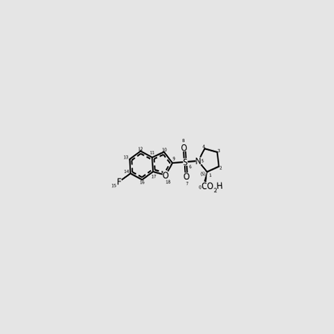 O=C(O)[C@@H]1CCCN1S(=O)(=O)c1cc2ccc(F)cc2o1